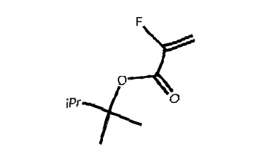 C=C(F)C(=O)OC(C)(C)C(C)C